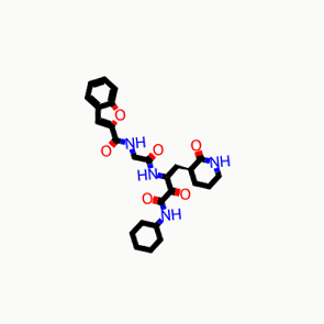 O=C(CNC(=O)c1cc2ccccc2o1)NC(C[C@@H]1CCCNC1=O)C(=O)C(=O)NC1CCCCC1